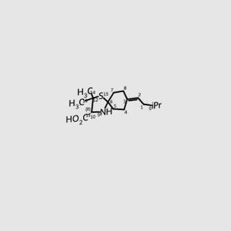 CC(C)CC=C1CCC2(CC1)N[C@H](C(=O)O)C(C)(C)S2